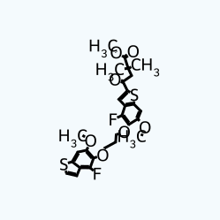 COC(=O)C(C)(C)CC(=O)c1cc2c(F)c(OCCCOc3c(OC)cc4sccc4c3F)c(OC)cc2s1